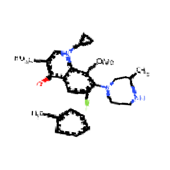 COc1c(N2CCNC(C)C2)c(F)cc2c(=O)c(C(=O)O)cn(C3CC3)c12.Cc1ccccc1